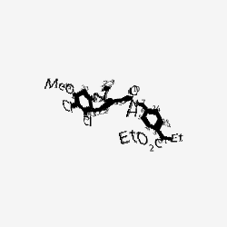 CCOC(=O)C(CC)c1ccc(CNC(=O)c2cc3c(Cl)c(Cl)c(OC)cc3n2C)cc1